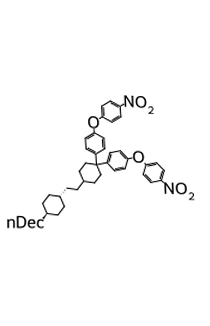 CCCCCCCCCC[C@H]1CC[C@H](CCC2CCC(c3ccc(Oc4ccc([N+](=O)[O-])cc4)cc3)(c3ccc(Oc4ccc([N+](=O)[O-])cc4)cc3)CC2)CC1